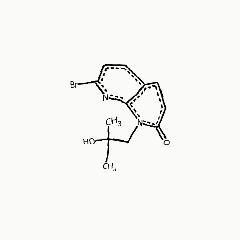 CC(C)(O)Cn1c(=O)ccc2ccc(Br)nc21